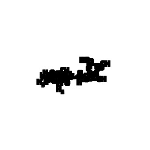 CCC(C)(C)COCC(C)(C)CC(=O)N[C@H](CCCCNC(=O)CCC(C(=O)O)N1CCN(CC(=O)O)CCN(CC(=O)O)CCN(CC(=O)O)CC1)C(=O)NCC(C)(C)COCC(C)(C)COC